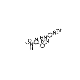 C=CC(=O)Nc1cncc(-c2cccc3cnc(Nc4ccc(N5CCN(C)CC5)cc4)nc23)c1